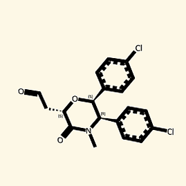 CN1C(=O)[C@H](CC=O)O[C@@H](c2ccc(Cl)cc2)[C@H]1c1ccc(Cl)cc1